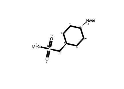 CNS(=O)(=O)C[C@H]1CC[C@H](NC)CC1